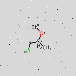 CCO[SiH](C)CCl